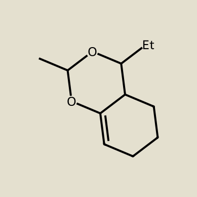 CCC1OC(C)OC2=CCCCC21